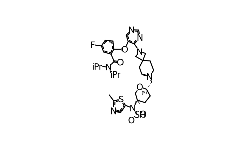 Cc1ncc(N([C@@H]2CC[C@@H](CN3CCC4(CC3)CN(c3ncncc3Oc3ccc(F)cc3C(=O)N(C(C)C)C(C)C)C4)OC2)[SH](=O)=O)s1